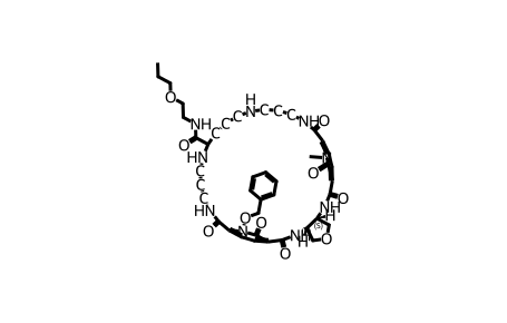 CCCOCCNC(=O)C1CCCNCCCNC(=O)c2ccc(c(=O)n2C)C(=O)N[C@@H]2COC[C@@H]2NC(=O)c2ccc(n(OCc3ccccc3)c2=O)C(=O)NCCCN1